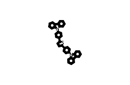 c1ccc2c(c1)c1ccccc1n2-c1ccc(-c2ccc(-c3ccc(-n4c5ccccc5c5ccccc54)cc3)s2)cc1